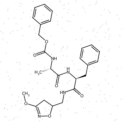 COC1=NOC(CNC(=O)[C@H](Cc2ccccc2)NC(=O)[C@H](C)NC(=O)OCc2ccccc2)C1